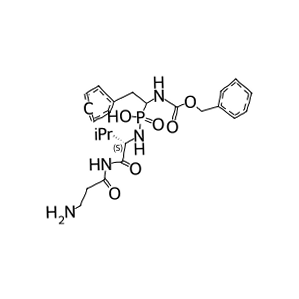 CC(C)[C@H](NP(=O)(O)C(Cc1ccccc1)NC(=O)OCc1ccccc1)C(=O)NC(=O)CCN